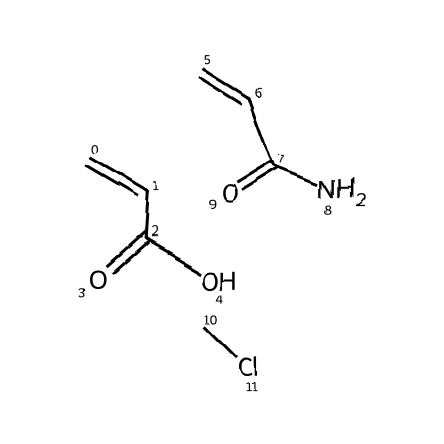 C=CC(=O)O.C=CC(N)=O.CCl